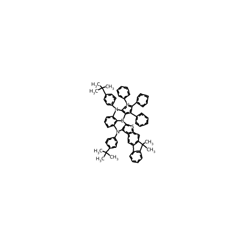 CC(C)(C)c1ccc(N2c3cccc4c3B(c3sc5cc6c(cc5c32)-c2ccccc2C6(C)C)c2c(-c3ccccc3)c(-c3ccccc3)n(-c3ccccc3)c2N4c2ccc(C(C)(C)C)cc2)cc1